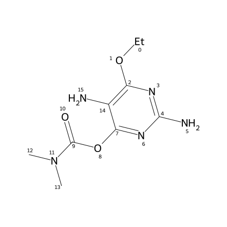 CCOc1nc(N)nc(OC(=O)N(C)C)c1N